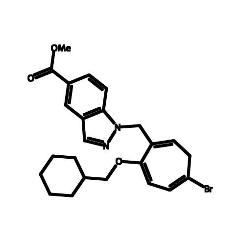 COC(=O)c1ccc2c(cnn2CC2=CCC(Br)=CC=C2OCC2CCCCC2)c1